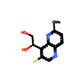 COc1ccc2ncc(F)c([C@@H](O)CO)c2n1